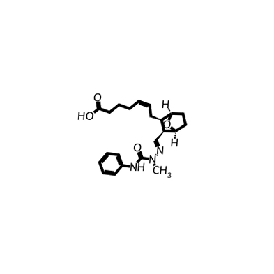 CN(N=C[C@H]1[C@@H](C/C=C\CCCC(=O)O)[C@H]2CC[C@@H]1O2)C(=O)Nc1ccccc1